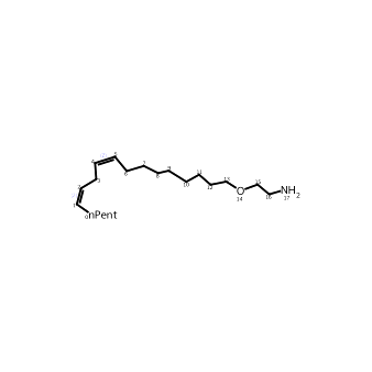 CCCCC/C=C\C/C=C\CCCCCCCCOCCN